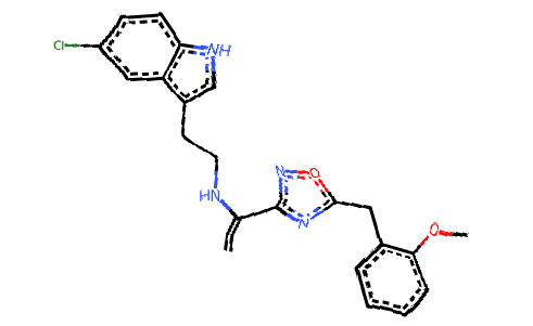 C=C(NCCc1c[nH]c2ccc(Cl)cc12)c1noc(Cc2ccccc2OC)n1